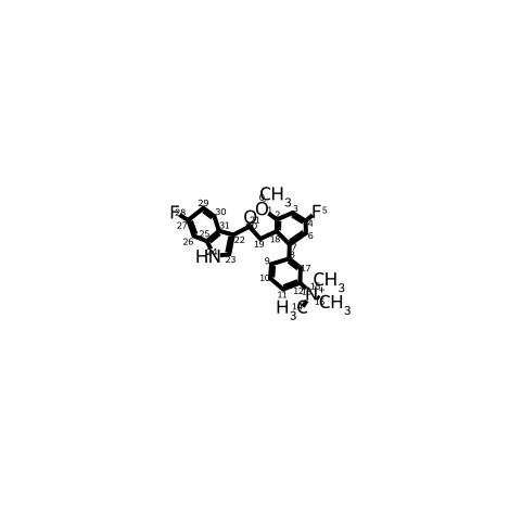 COc1cc(F)cc(-c2cccc([N+](C)(C)C)c2)c1CC(=O)c1c[nH]c2cc(F)ccc12